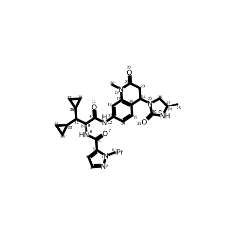 CC(C)n1nccc1C(=O)N[C@H](C(=O)Nc1ccc2c(c1)N(C)C(=O)CC2N1C[C@@H](C)NC1=O)C(C1CC1)C1CC1